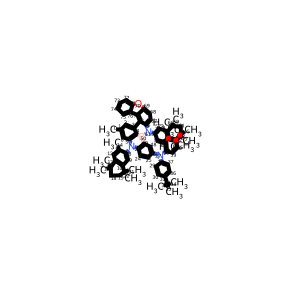 Cc1cc2c3c(c1)N(c1cc4c(cc1C)C(C)(C)CCC4(C)C)c1ccc(N(c4ccc(C(C)(C)C)cc4)c4ccc(C(C)(C)C)cc4)cc1B3N(c1ccc3c(c1)C(C)(C)CCC3(C)C)c1ccc3oc4ccccc4c3c1-2